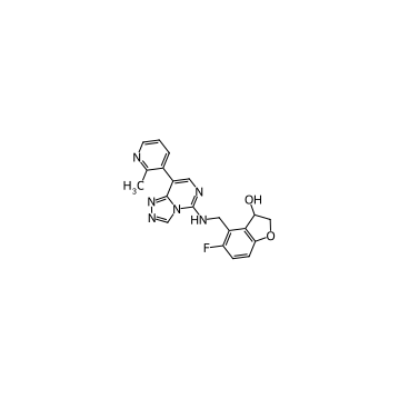 Cc1ncccc1-c1cnc(NCc2c(F)ccc3c2C(O)CO3)n2cnnc12